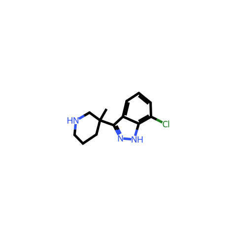 CC1(c2n[nH]c3c(Cl)cccc23)CCCNC1